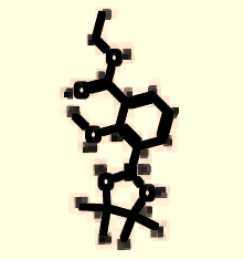 CCOC(=O)c1cccc(B2OC(C)(C)C(C)(C)O2)c1OC